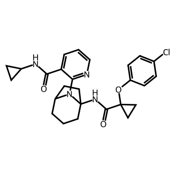 O=C(NC1CC1)c1cccnc1N1C2CCCC1(NC(=O)C1(Oc3ccc(Cl)cc3)CC1)CC2